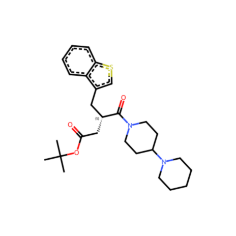 CC(C)(C)OC(=O)C[C@H](Cc1csc2ccccc12)C(=O)N1CCC(N2CCCCC2)CC1